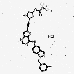 CN(C)C(=O)OC1CNC(C#Cc2cc3ncnc(Nc4ccc5c(cnn5Cc5cccc(F)c5)c4)c3s2)C1.Cl